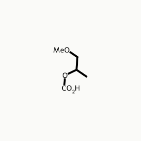 COCC(C)OC(=O)O